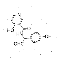 O=[C]C(NC(=O)c1cnccc1O)c1ccc(O)cc1